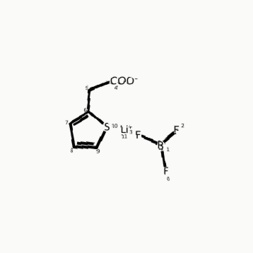 FB(F)F.O=C([O-])Cc1cccs1.[Li+]